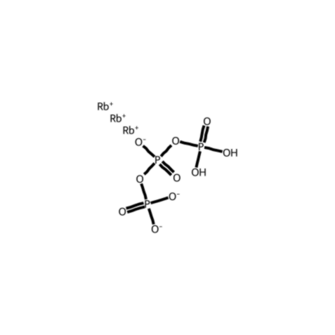 O=P([O-])([O-])OP(=O)([O-])OP(=O)(O)O.[Rb+].[Rb+].[Rb+]